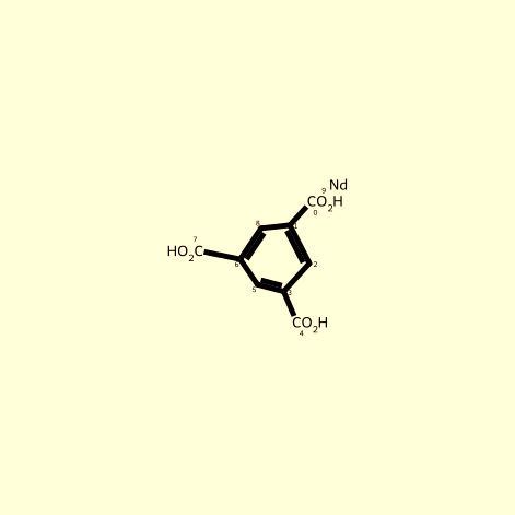 O=C(O)c1cc(C(=O)O)cc(C(=O)O)c1.[Nd]